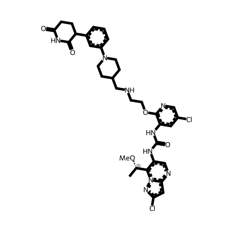 CO[C@@H](C)c1c(NC(=O)Nc2cc(Cl)cnc2OCCNCC2CCN(c3cccc(C4CCC(=O)NC4=O)c3)CC2)cnc2cc(Cl)nn12